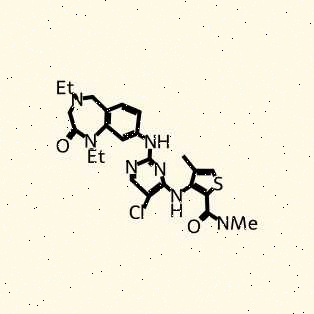 CCN1CC(=O)N(CC)c2cc(Nc3ncc(Cl)c(Nc4c(C)csc4C(=O)NC)n3)ccc2C1